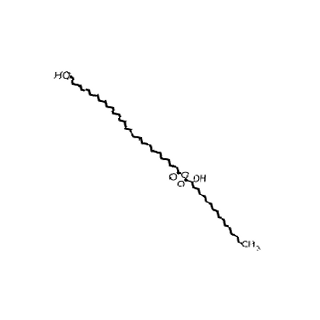 CCCCCCCCCCCCCCCCC(O)C(=O)OC(=O)CCCCCCCCCCCCCCCCCCCCCCCCCCCO